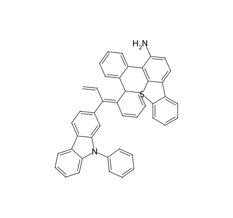 C=C/C(=C1/C=CC=CC1c1ccccc1-c1c(N)ccc2c1sc1ccccc12)c1ccc2c3ccccc3n(-c3ccccc3)c2c1